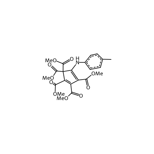 COC(=O)C1=C(Nc2ccc(C)cc2)C(C(=O)OC)(C(=O)OC)C(C(=O)OC)=C1C(=O)OC